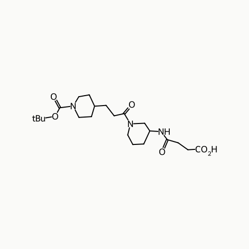 CC(C)(C)OC(=O)N1CCC(CCC(=O)N2CCCC(NC(=O)CCC(=O)O)C2)CC1